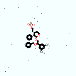 CS(=O)(=O)OCC[C@H]1CCO[C@H](OCC(OCc2ccccc2)c2cc(C(F)(F)F)cc(C(F)(F)F)c2)[C@@H]1c1ccccc1